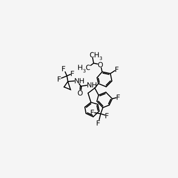 CC(C)Oc1cc(C(Cc2ccccc2)(NC(=O)NC2(C(F)(F)F)CC2)c2cc(F)cc(C(F)(F)F)c2)ccc1F